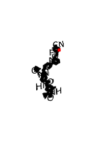 Cc1cc(NC(=O)c2ccc3c(c2)nc(CN2CC=C(c4cccc(OCc5ccc(C#N)cc5F)n4)CC2)n3C[C@@H]2CCO2)cc2c1NC(=O)C21CC1